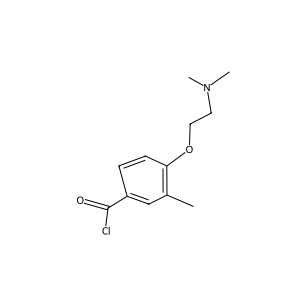 Cc1cc(C(=O)Cl)ccc1OCCN(C)C